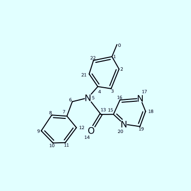 Cc1ccc(N(Cc2ccccc2)C(=O)c2cnccn2)cc1